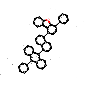 c1ccc(-c2c3ccccc3c(-c3cccc4c(-c5ccc(-c6ccccc6)c6oc7ccccc7c56)cccc34)c3ccccc23)cc1